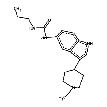 CCCNC(=O)Nc1ccc2[nH]cc(C3CCN(C)CC3)c2c1